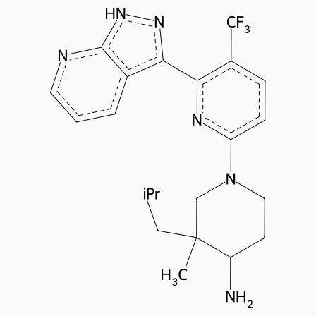 CC(C)CC1(C)CN(c2ccc(C(F)(F)F)c(-c3n[nH]c4ncccc34)n2)CCC1N